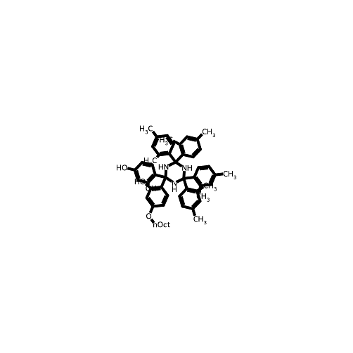 CCCCCCCCOc1ccc(C2(c3ccc(O)cc3O)NC(c3ccc(C)cc3C)(c3ccc(C)cc3C)NC(c3ccc(C)cc3C)(c3ccc(C)cc3C)N2)c(O)c1